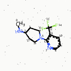 CNC1CCN(c2ncccc2C(F)(F)F)CC1